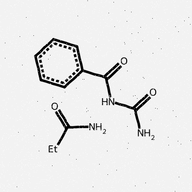 CCC(N)=O.NC(=O)NC(=O)c1ccccc1